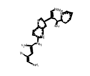 CN/C=C(\C(=N)c1ccccn1)c1cnc2ccc(N/C(N)=C/C(=C\N)C(C)C)nc2c1